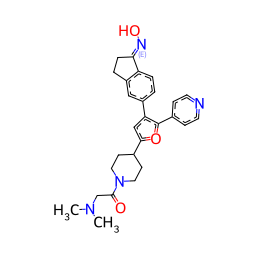 CN(C)CC(=O)N1CCC(c2cc(-c3ccc4c(c3)CC/C4=N\O)c(-c3ccncc3)o2)CC1